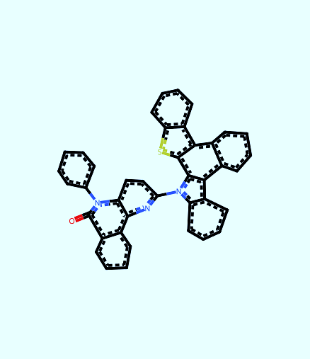 O=c1c2ccccc2c2nc(-n3c4ccccc4c4c5ccccc5c5c6ccccc6sc5c43)ccc2n1-c1ccccc1